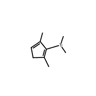 CC1=CCC(C)=[C]1[Ti]([CH3])[CH3]